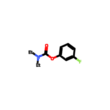 CCN(CC)C(=O)Oc1cccc(F)c1